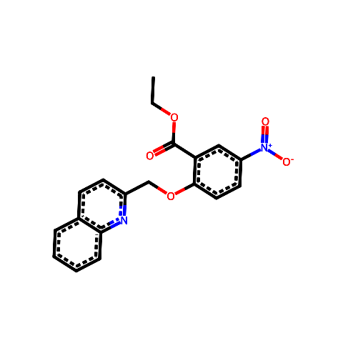 CCOC(=O)c1cc([N+](=O)[O-])ccc1OCc1ccc2ccccc2n1